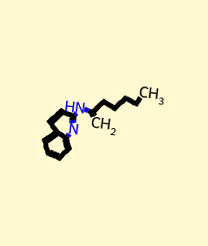 C=C(CCCCC)Nc1ccc2ccccc2n1